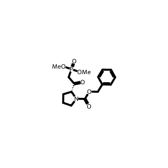 COP(=O)(CC(=O)[C@H]1CCCN1C(=O)OCc1ccccc1)OC